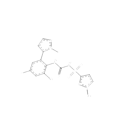 CC(C)c1cc(F)cc(-c2ccnn2C)c1NC(=O)NS(=O)(=O)c1ccn(C(C)C)n1